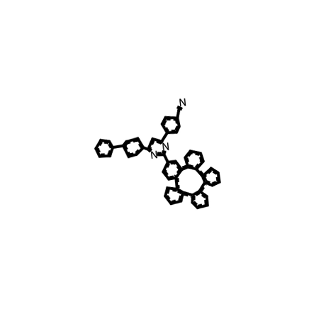 N#Cc1ccc(-c2cc(-c3ccc(-c4ccccc4)cc3)nc(-c3ccc4c5ccccc5c5ccccc5c5ccccc5c5ccccc5c4c3)n2)cc1